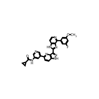 COc1cc(F)cc(-c2nccc3[nH]c(-c4n[nH]c5ccc(-c6cncc(NC(=O)C7CC7)c6)nc45)nc23)c1